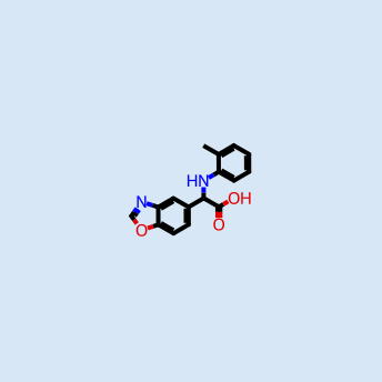 Cc1ccccc1NC(C(=O)O)c1ccc2ocnc2c1